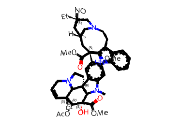 CC[C@]1(N=O)C[C@@H]2CN(CCc3c([nH]c4ccccc34)[C@@](C(=O)OC)(c3cc4c(cc3OC)N(C)C3[C@]45CCN4CC=C[C@](CC)(C45)[C@@H](OC(C)=O)[C@]3(O)C(=O)OC)C2)C1